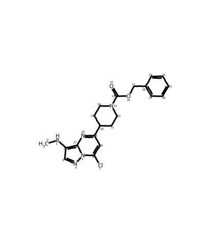 CBc1cnn2c(Cl)cc(C3CCN(C(=O)OCc4ccccc4)CC3)nc12